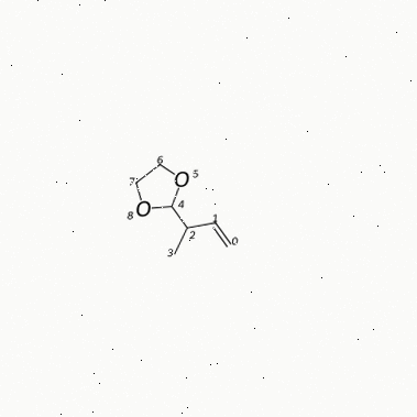 C=CC(C)C1OCCO1